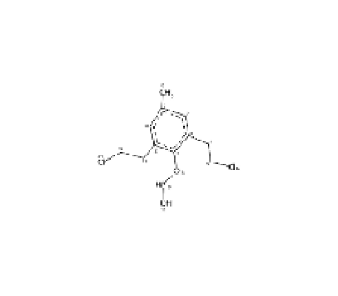 Cc1cc(CCCl)c(OPO)c(CCCl)c1